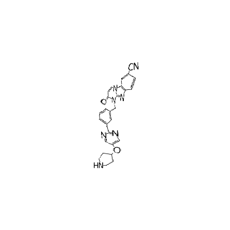 N#Cc1ccc2nc3n(Cc4cccc(-c5ncc(OC6CCNCC6)cn5)c4)c(=O)ccn3c2c1